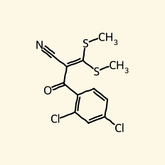 CSC(SC)=C(C#N)C(=O)c1ccc(Cl)cc1Cl